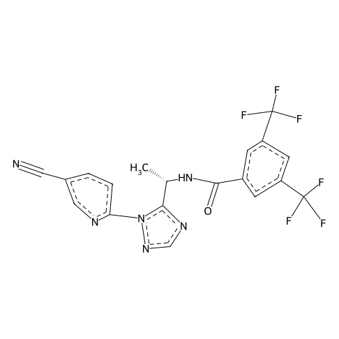 C[C@H](NC(=O)c1cc(C(F)(F)F)cc(C(F)(F)F)c1)c1ncnn1-c1ccc(C#N)cn1